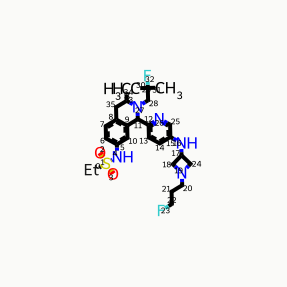 CCS(=O)(=O)Nc1ccc2c(c1)C(c1ccc(NC3CN(CCCF)C3)cn1)N(CC(C)(C)F)C(C)C2